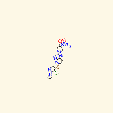 NC1(CO)CCN(c2cnc3nc(Sc4ccnc(N5CCCC5)c4Cl)ccc3n2)CC1